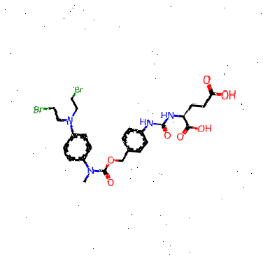 CN(C(=O)OCc1ccc(NC(=O)N[C@@H](CCC(=O)O)C(=O)O)cc1)c1ccc(N(CCBr)CCBr)cc1